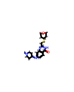 CN1CCC(Nc2ccc3c(=O)[nH]c(CSC4CCOCC4)nc3c2)CC1